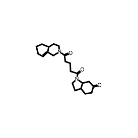 O=C1CCC2CCN(C(=O)CCCC(=O)N3CCC4CCCC=C4C3)C2C1